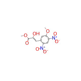 COC(=O)C(O)=Cc1cc(OC)c([N+](=O)[O-])cc1[N+](=O)[O-]